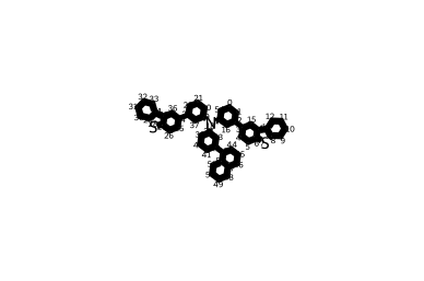 c1cc(-c2ccc3sc4ccccc4c3c2)cc(N(c2cccc(-c3ccc4sc5ccccc5c4c3)c2)c2cccc(-c3cccc4ccccc34)c2)c1